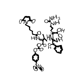 CC(C)[C@H](NC(=O)CCCCCN1C(=O)C=CC1=O)C(=O)OC(=O)Oc1ccc([N+](=O)[O-])cc1.NC(=O)NCCC[C@H](NNC(O)c1ccccc1)C(=O)O